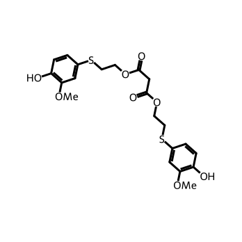 COc1cc(SCCOC(=O)CC(=O)OCCSc2ccc(O)c(OC)c2)ccc1O